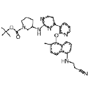 Cc1ccc2c(NCCC#N)cccc2c1Oc1ncccc1-c1ccnc(NC2CCCN(C(=O)OC(C)(C)C)C2)n1